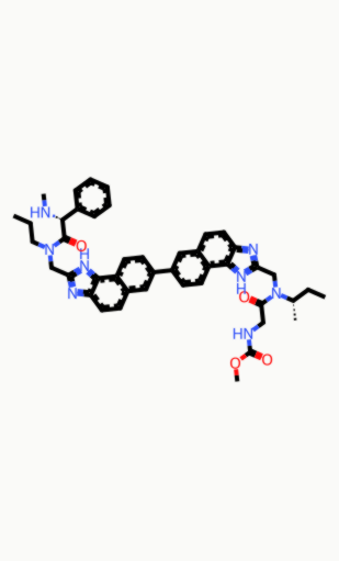 CCCN(Cc1nc2ccc3cc(-c4ccc5c(ccc6nc(CN(C(=O)CNC(=O)OC)[C@@H](C)CC)[nH]c65)c4)ccc3c2[nH]1)C(=O)[C@H](NC)c1ccccc1